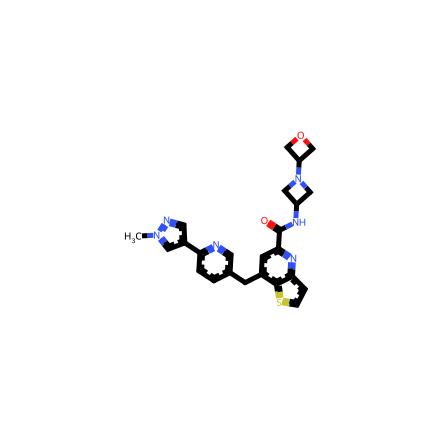 Cn1cc(-c2ccc(Cc3cc(C(=O)NC4CN(C5COC5)C4)nc4ccsc34)cn2)cn1